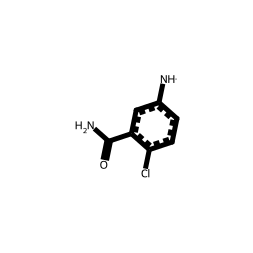 [NH]c1ccc(Cl)c(C(N)=O)c1